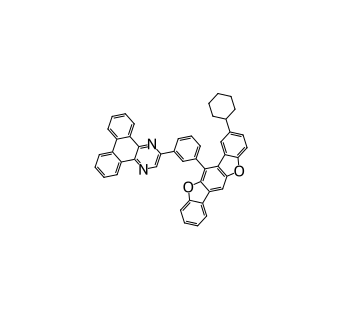 c1cc(-c2cnc3c4ccccc4c4ccccc4c3n2)cc(-c2c3oc4ccccc4c3cc3oc4ccc(C5CCCCC5)cc4c23)c1